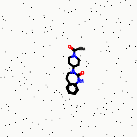 CC(C)(C)C(=O)N1CCC(N2CCc3ccccc3NC2=O)CC1